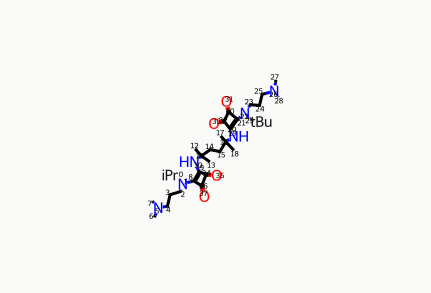 CC(C)N(CCCN(C)C)c1c(NC(C)(C)CCC(C)(C)Nc2c(N(CCCN(C)C)C(C)(C)C)c(=O)c2=O)c(=O)c1=O